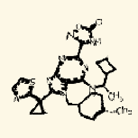 C[C@@H](Nc1nc(-c2noc(=O)[nH]2)nc2nc(C3(c4nccs4)CC3)n(C[C@H]3CC[C@H](C)CC3)c12)C1CCC1